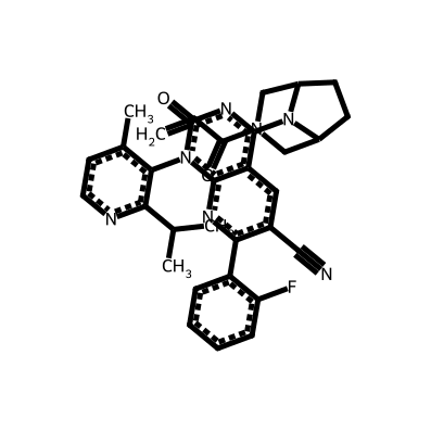 C=CC(=O)N1CC2CCC(C1)N2c1nc(=O)n(-c2c(C)ccnc2C(C)C)c2nc(-c3ccccc3F)c(C#N)cc12